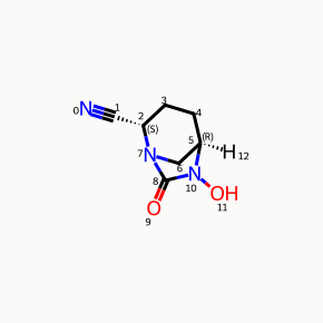 N#C[C@@H]1CC[C@@H]2CN1C(=O)N2O